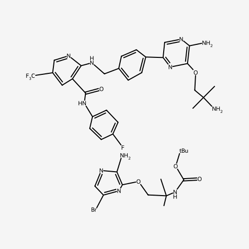 CC(C)(COc1nc(Br)cnc1N)NC(=O)OC(C)(C)C.CC(C)(N)COc1nc(-c2ccc(CNc3ncc(C(F)(F)F)cc3C(=O)Nc3ccc(F)cc3)cc2)cnc1N